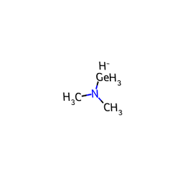 C[N](C)[GeH3].[H-]